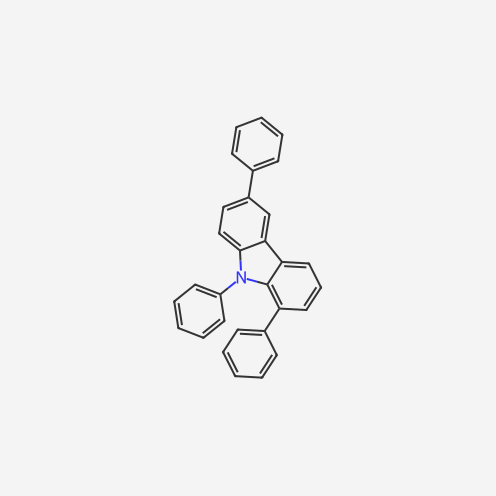 c1ccc(-c2ccc3c(c2)c2cccc(-c4ccccc4)c2n3-c2ccccc2)cc1